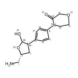 NC[C@H]1CN(c2ccc(N3CCOCC3=O)cc2)C(O)O1